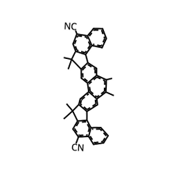 Cc1c(C)c2cc3c(cc2c2cc4c(cc12)-c1c(cc(C#N)c2ccccc12)C4(C)C)C(C)(C)c1cc(C#N)c2ccccc2c1-3